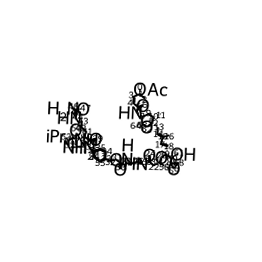 CC(=O)O[C@@H](C)/C=C\C(=O)N[C@@H]1C[C@H](C)[C@H](C/C=C(C)/C=C/[C@H]2O[C@H](CC(=O)NCCNC(=O)OCc3ccc(NC(=O)[C@H](CCCNC(N)=O)NC(=O)[C@@H](N)C(C)C)cc3)C[C@@]3(CO3)[C@@H]2O)O[C@@H]1C